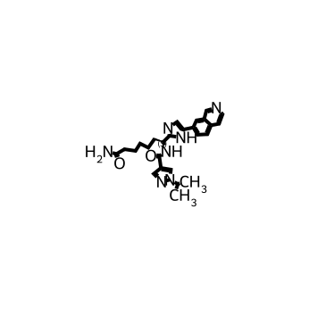 CC(C)n1cc(C(=O)N[C@@H](CCCCCC(N)=O)c2ncc(-c3ccc4ccncc4c3)[nH]2)cn1